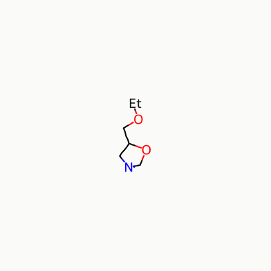 CCOCC1C[N]CO1